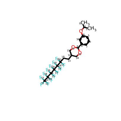 CC(C)Oc1cccc(C2OCC(CCC(F)(F)C(F)(F)C(F)(F)C(F)(F)C(F)(F)C(F)(F)F)CO2)c1